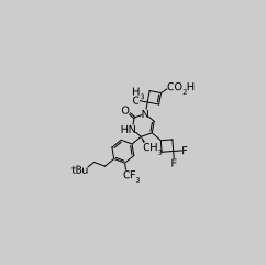 CC(C)(C)CCc1ccc([C@]2(C)NC(=O)N(C3(C)C=C(C(=O)O)C3)C=C2C2CC(F)(F)C2)cc1C(F)(F)F